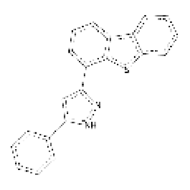 c1ccc(-c2cc(-c3cccc4c3sc3ccccc34)n[nH]2)cc1